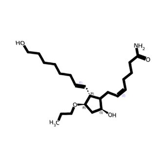 CCCO[C@@H]1C[C@H](O)C(C/C=C\CCCC(N)=O)[C@H]1/C=C/CCCCCCO